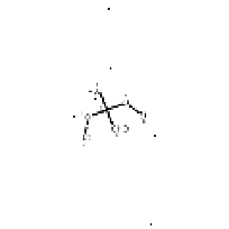 CCOC(C)(C=O)OCC